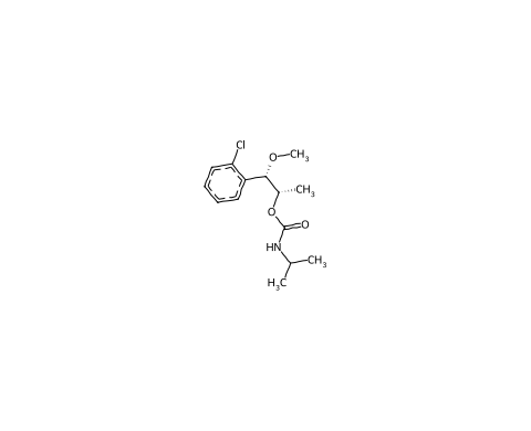 CO[C@@H](c1ccccc1Cl)[C@H](C)OC(=O)NC(C)C